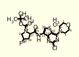 C[C@@H]1COCCN1c1nc(Cl)nc2c(NC(=O)C3CC(F)CN3C(=O)OC(C)(C)C)csc12